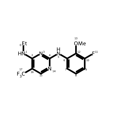 CCNc1nc(Nc2cc[c]c(F)c2OC)ncc1C(F)(F)F